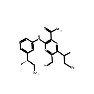 CC(C)Cc1nc(Nc2cccc([C@@H](C)CN)c2)c(C(N)=O)nc1C(C)CC(C)C